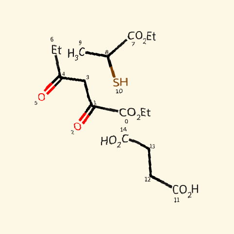 CCOC(=O)C(=O)CC(=O)CC.CCOC(=O)C(C)S.O=C(O)CCC(=O)O